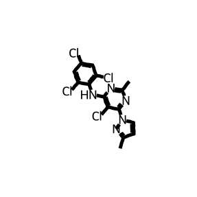 Cc1ccn(-c2nc(C)nc(Nc3c(Cl)cc(Cl)cc3Cl)c2Cl)n1